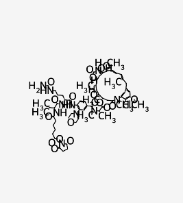 COc1cc2cc(c1Cl)N(C)C(=O)C[C@H](OC(=O)[C@H](C)N(C)C(=O)c1ccc(NC(=O)[C@H](CCCNC(N)=O)NC(=O)[C@@H](NC(=O)CCCCC(=O)ON3C(=O)CCC3=O)C(C)C)c(N3CCOCC3)c1)[C@]1(C)O[C@H]1[C@H](C)[C@@H]1C[C@@](O)(NC(=O)O1)[C@H](OC)/C=C/C=C(\C)C2